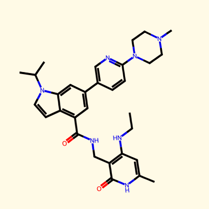 CCNc1cc(C)[nH]c(=O)c1CNC(=O)c1cc(-c2ccc(N3CCN(C)CC3)nc2)cc2c1ccn2C(C)C